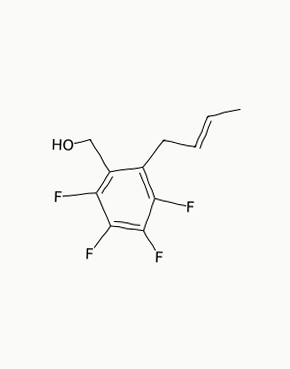 CC=CCc1c(F)c(F)c(F)c(F)c1CO